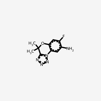 CC1(C)Oc2cc(F)c(N)cc2-n2nnnc21